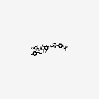 CCCc1ccc(C)cc1N1C(=O)CS/C1=N\C(=O)Nc1c(F)cc(OCc2ncn(-c3ccc(OC(F)(F)F)cc3)n2)cc1F